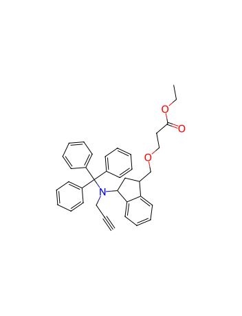 C#CCN(C1CC(COCCC(=O)OCC)c2ccccc21)C(c1ccccc1)(c1ccccc1)c1ccccc1